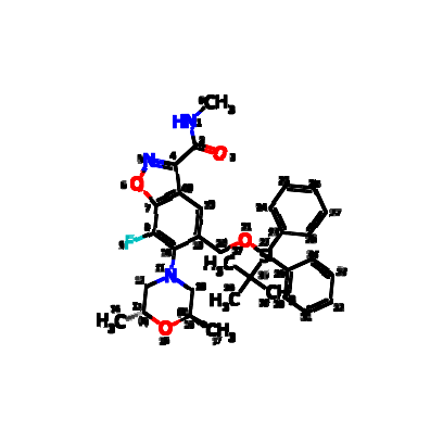 CNC(=O)c1noc2c(F)c(N3C[C@@H](C)O[C@H](C)C3)c(CO[Si](c3ccccc3)(c3ccccc3)C(C)(C)C)cc12